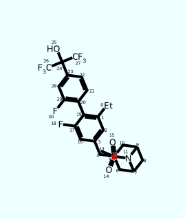 CCc1cc(CN2CC3CC(C2)N3S(C)(=O)=O)cc(F)c1-c1ccc(C(O)(C(F)(F)F)C(F)(F)F)cc1F